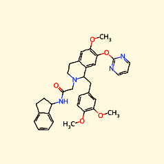 COc1ccc(CC2c3cc(Oc4ncccn4)c(OC)cc3CCN2CC(=O)NC2CCc3ccccc32)cc1OC